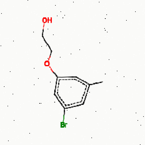 Cc1cc(Br)cc(OCCO)c1